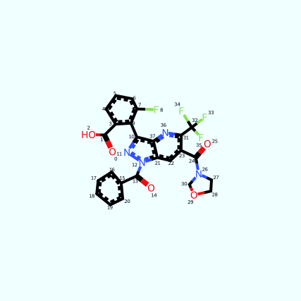 O=C(O)c1cccc(F)c1-c1nn(C(=O)c2ccccc2)c2cc(C(=O)N3CCOC3)c(C(F)(F)F)nc12